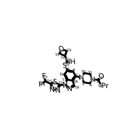 CC(C)C(=O)N1CCN(c2cc(SNC3COC3)cc3c2cnn3-c2nnc(C(F)F)s2)CC1